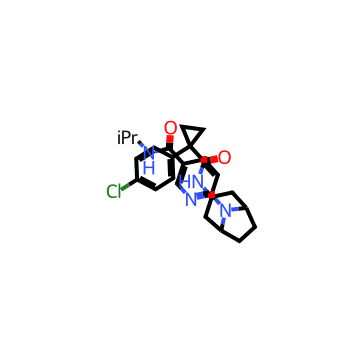 CC(C)NC(=O)c1ccc(N2C3CCC2CC(NC(=O)C2(c4ccc(Cl)cc4)CC2)C3)nc1